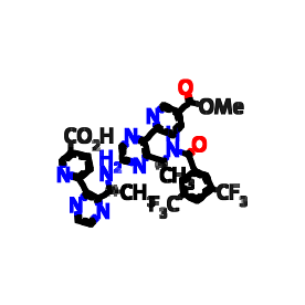 COC(=O)c1ccc(-c2nccnc2[C@@H](C)NC(=O)c2cc(C(F)(F)F)cc(C(F)(F)F)c2)nc1.C[C@@H](N)c1nccnc1-c1ccc(C(=O)O)cn1